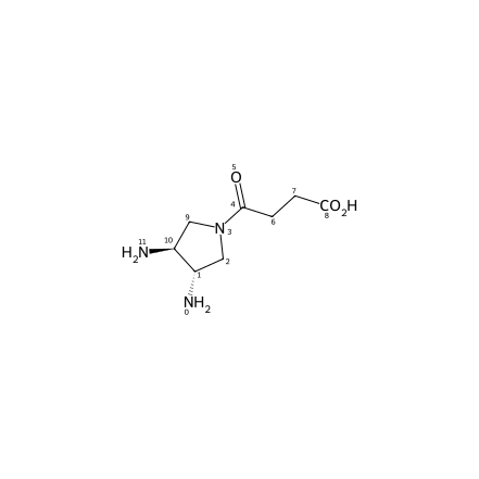 N[C@H]1CN(C(=O)CCC(=O)O)C[C@@H]1N